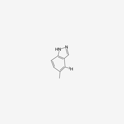 [2H]c1c(C)ccc2[nH]ncc12